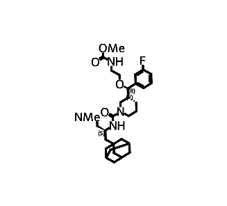 CNC[C@H](CC12CC3CC(CC(C3)C1)C2)NC(=O)N1CCC[C@@H]([C@@H](OCCNC(=O)OC)c2cccc(F)c2)C1